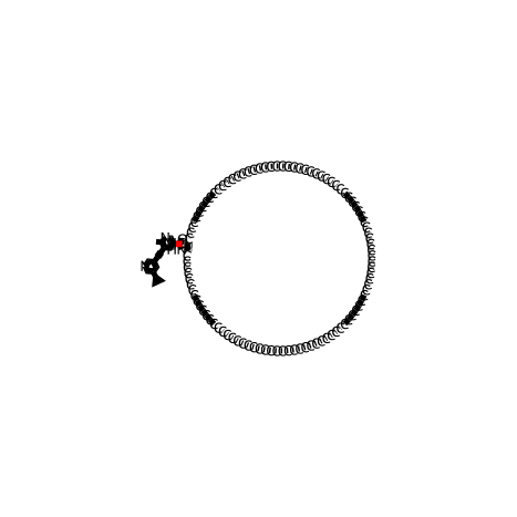 Cc1ncc(C(=O)N[C@@H]2CCCCCCCCCCCCCCCCCCCCCCCCCCCCCCCCCCCCCCCCCCCCCCCCCCCCCCCCCCCCCCCCCCCCCCCCCCCCCCCCCCCCCCCCCCCCCCCCCC[C@H]2O)cc1C#Cc1cncc(C2CC2)c1